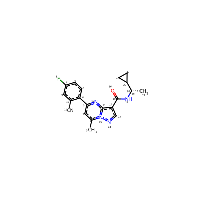 Cc1cc(-c2ccc(F)cc2C#N)nc2c(C(=O)N[C@@H](C)C3CC3)cnn12